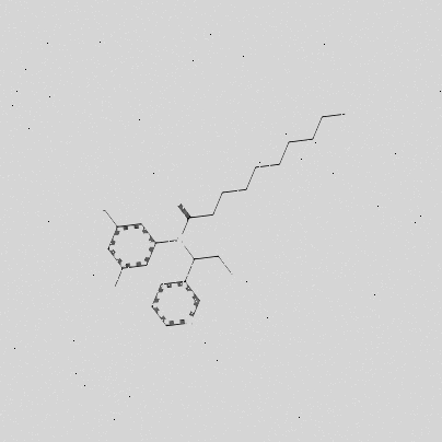 CCCCCCCCCC(=O)N(c1cc(Cl)cc(Cl)c1)C(CC)c1cccnc1